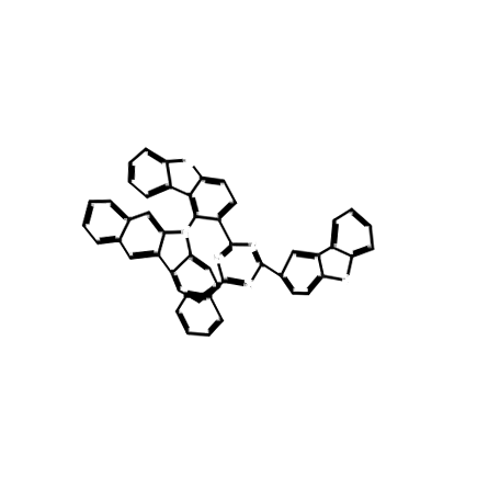 c1ccc(-c2nc(-c3ccc4sc5ccccc5c4c3)nc(-c3ccc4oc5ccccc5c4c3-n3c4ccccc4c4cc5ccccc5cc43)n2)cc1